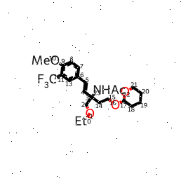 CCOCC(C=Cc1ccc(OC)c(C(F)(F)F)c1)(CCOC1CCCCO1)NC(C)=O